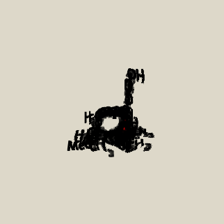 CC[C@H]1OC(=O)[C@H](C)[C@@H](O[C@H]2C[C@@](C)(OC)[C@@H](O)[C@H](C)O2)[C@H](C)[C@@H](O[C@@H]2O[C@H](C)C[C@H](N(C)C)[C@H]2OC(=O)COCCOCCOCCOCCO)[C@](C)(O)C[C@@H](C)CN(C)[C@H](C)[C@@H](O)[C@]1(C)O